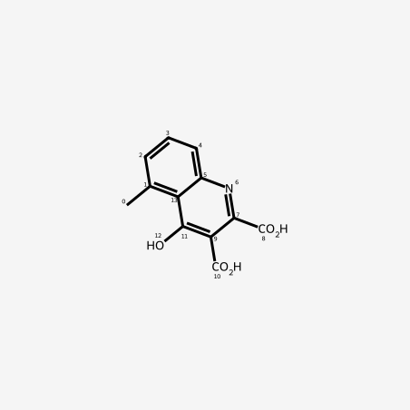 Cc1cccc2nc(C(=O)O)c(C(=O)O)c(O)c12